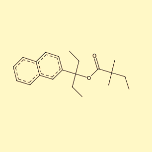 CCC(C)(C)C(=O)OC(CC)(CC)c1ccc2ccccc2c1